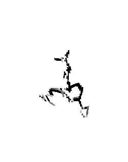 CN(C)/C=N/c1ccc(Cl)n[n+]1CC#N